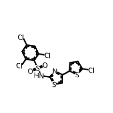 O=S(=O)(Nc1nc(-c2ccc(Cl)s2)cs1)c1c(Cl)cc(Cl)cc1Cl